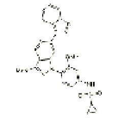 CNc1nn(-c2ccc(NS(=O)(=O)C3CC3)cc2OC)c2cc(-c3cnn4cccnc34)ncc12